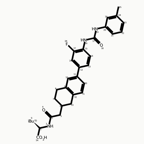 CC[C@H](C)C(NC(=O)CC1CCc2cc(-c3ccc(NC(=O)Nc4cccc(C)c4)c(F)c3)ccc2C1)C(=O)O